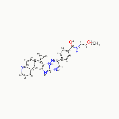 COCCNC(=O)c1ccc(-c2cnc3ncc(C4(c5ccc6ncccc6c5)CC4)n3n2)cc1